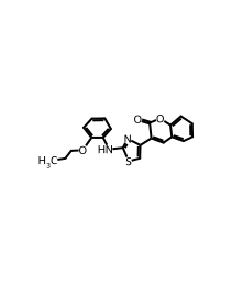 CCCOc1ccccc1Nc1nc(-c2cc3ccccc3oc2=O)cs1